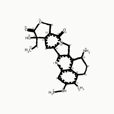 BBc1cc2nc3c(c4c2c(c1C)CCC4N)Cn1c-3cc2c(c1=O)COC(=O)C2(O)CC